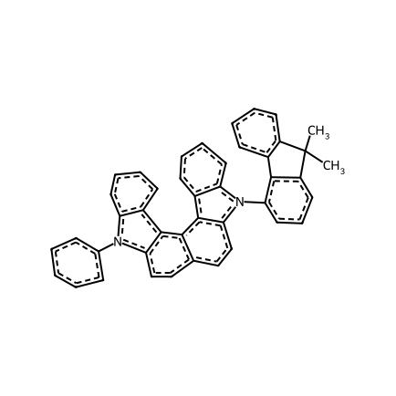 CC1(C)c2ccccc2-c2c(-n3c4ccccc4c4c5c(ccc6c5c5ccccc5n6-c5ccccc5)ccc43)cccc21